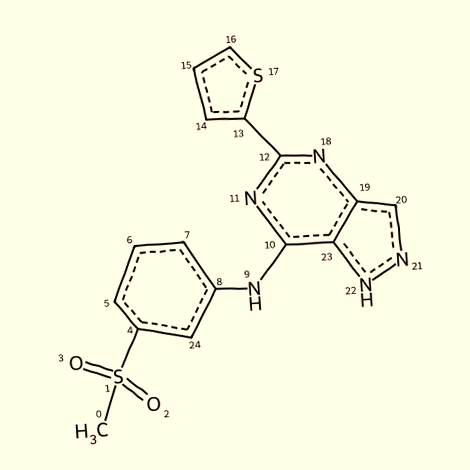 CS(=O)(=O)c1cccc(Nc2nc(-c3cccs3)nc3cn[nH]c23)c1